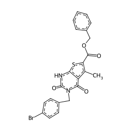 Cc1c(C(=O)OCc2ccccc2)sc2[nH]c(=O)n(Cc3ccc(Br)cc3)c(=O)c12